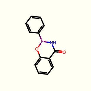 O=C1NP(c2ccccc2)Oc2ccccc21